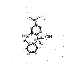 Cl.NC(=O)c1ccc2c(c1)NCc1ccccc1S2(=O)=O